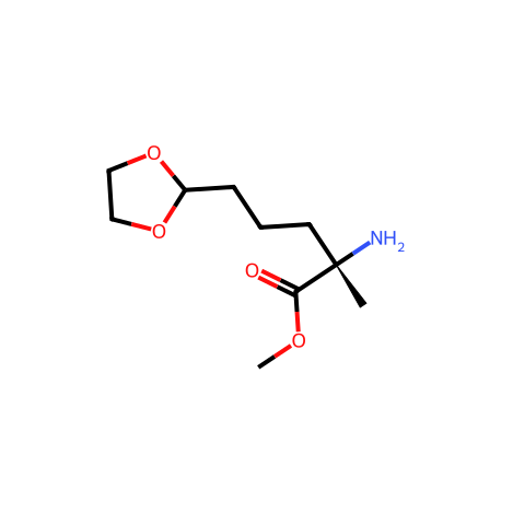 COC(=O)[C@@](C)(N)CCCC1OCCO1